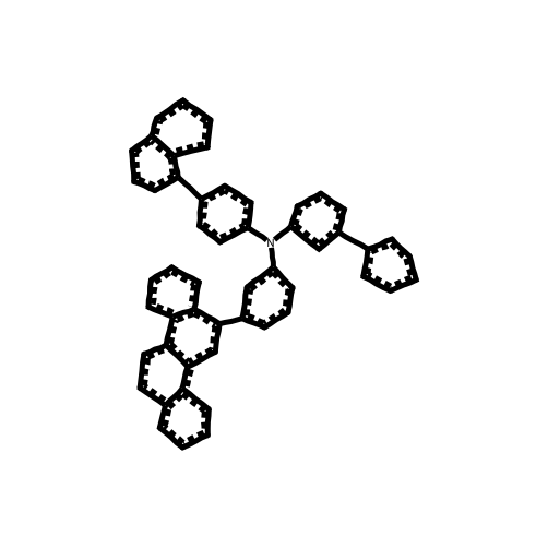 c1ccc(-c2cccc(N(c3ccc(-c4cccc5ccccc45)cc3)c3cccc(-c4cc5c6ccccc6ccc5c5ccccc45)c3)c2)cc1